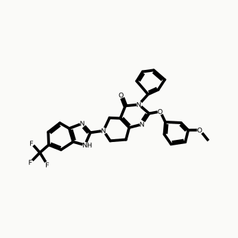 COc1cccc(Oc2nc3c(c(=O)n2-c2ccccc2)CN(c2nc4ccc(C(F)(F)F)cc4[nH]2)CC3)c1